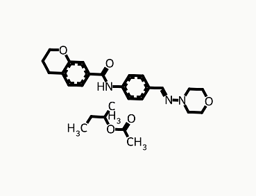 CCC(C)OC(C)=O.O=C(Nc1ccc(C=NN2CCOCC2)cc1)c1ccc2c(c1)OCCC2